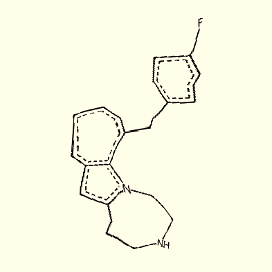 Fc1ccc(Cc2cccc3cc4n(c23)CCNCC4)cc1